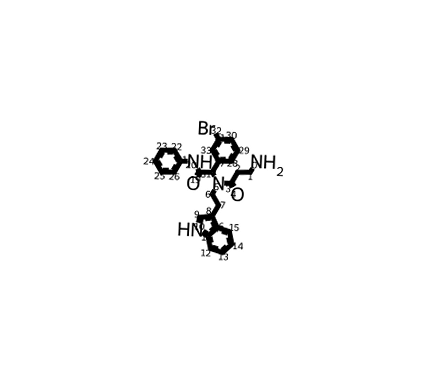 NCCC(=O)N(CCc1c[nH]c2ccccc12)C(C(=O)Nc1ccccc1)c1cccc(Br)c1